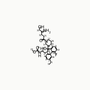 CCc1cccc(-c2c(F)cccc2[C@](O)(CCCNC(=O)OC)[C@@H]2CCCN(C(=O)CC[C@H](N)CO)C2)c1